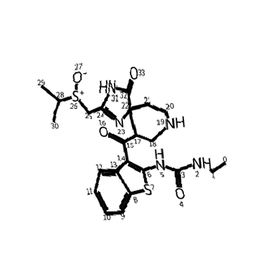 CCNC(=O)Nc1sc2ccccc2c1C(=O)C1CNCCC12N=C(C[S+]([O-])C(C)C)NC2=O